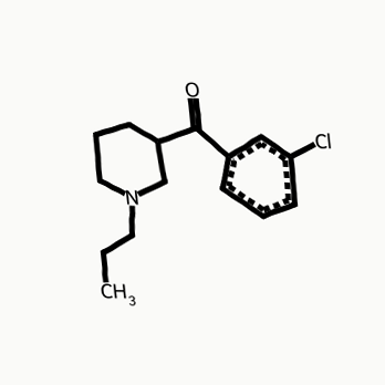 CCCN1CCCC(C(=O)c2cccc(Cl)c2)C1